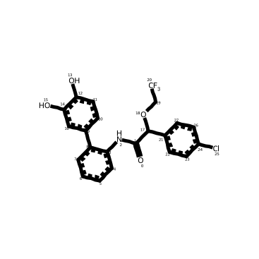 O=C(Nc1ccccc1-c1ccc(O)c(O)c1)C(OCC(F)(F)F)c1ccc(Cl)cc1